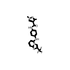 Cc1nn(C)cc1C(=O)Nc1ccc(Nc2cccc3nc(C(F)(F)F)cn23)cc1